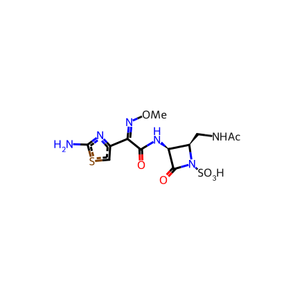 CON=C(C(=O)N[C@@H]1C(=O)N(S(=O)(=O)O)[C@@H]1CNC(C)=O)c1csc(N)n1